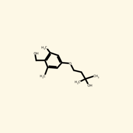 Cc1cc(OCCC(C)(C)O)cc(C)c1CO